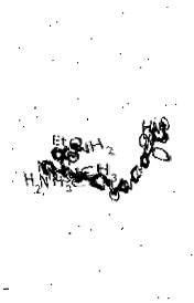 CCC(c1cccc(-c2nc(C(C)(C)C3CCN(C(=O)C4CN(C5CCN(c6ccc7c(c6)C(=O)N(C6CCC(=O)NC6=O)C7=O)CC5)C4)CC3)sc2-c2ccnc(N)n2)c1F)S(N)(=O)=O